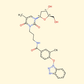 Cc1cn([C@H]2C[C@H](O)[C@@H](CO)O2)c(=O)n(CCCNC(=O)c2ccc(On3nnc4ccccc43)c(C#N)c2)c1=O